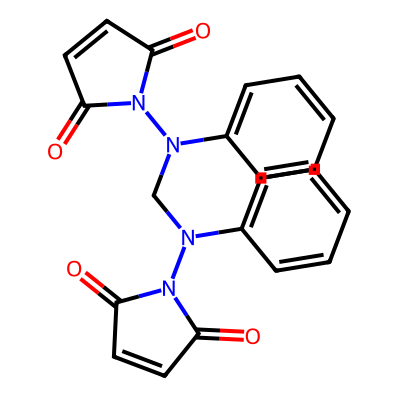 O=C1C=CC(=O)N1N(CN(c1ccccc1)N1C(=O)C=CC1=O)c1ccccc1